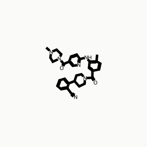 Cc1ccc(C(=O)N2CCC(c3ccccc3C#N)CC2)cc1Nc1ccc(C(=O)N2CCN(C)CC2)cn1